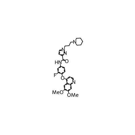 COc1cc2nccc(Oc3ccc(NC(=O)c4ccn(CCCN5CCCCC5)n4)cc3F)c2cc1OC